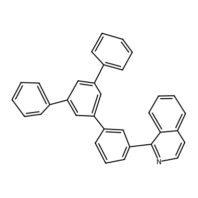 c1ccc(-c2cc(-c3ccccc3)cc(-c3cccc(-c4nccc5ccccc45)c3)c2)cc1